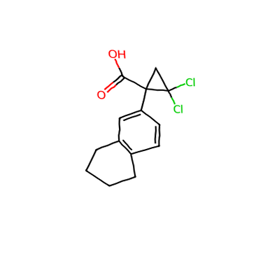 O=C(O)C1(c2ccc3c(c2)CCCC3)CC1(Cl)Cl